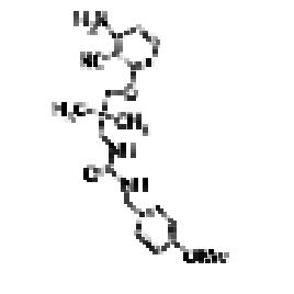 COc1ccc(CNC(=O)NCC(C)(C)COc2cccc(N)c2C#N)cc1